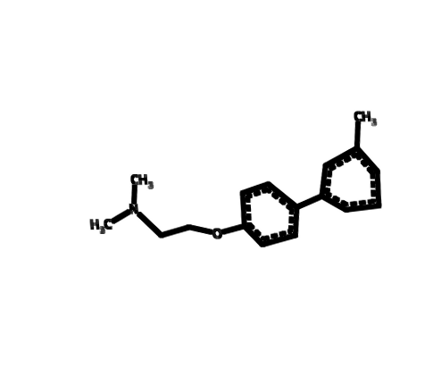 Cc1cccc(-c2ccc(OCCN(C)C)cc2)c1